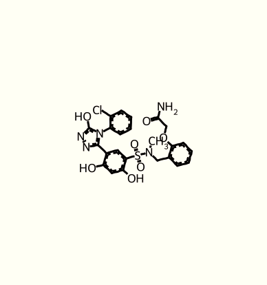 CN(Cc1ccccc1OCC(N)=O)S(=O)(=O)c1cc(-c2nnc(O)n2-c2ccccc2Cl)c(O)cc1O